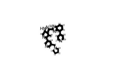 Fc1c(-c2cncc(CN3CCCC3)c2)ncc2[nH]nc(-c3nc4c(-c5ccncc5)cccc4[nH]3)c12